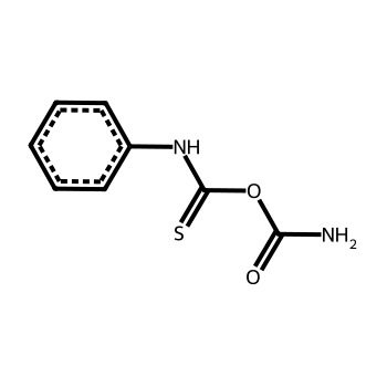 NC(=O)OC(=S)Nc1ccccc1